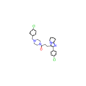 O=C(CCc1c(-c2ccc(Cl)cc2)nc2ccccn12)N1CCN(Cc2ccc(Cl)cc2)CC1